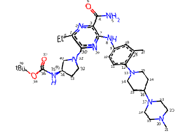 CCc1nc(C(N)=O)c(Nc2ccc(N3CCC(N4CCN(C)CC4)CC3)c(C)c2)nc1N1CC[C@@H](NC(=O)OC(C)(C)C)C1